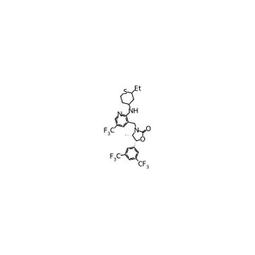 CCC1CC(Nc2ncc(C(F)(F)F)cc2CN2C(=O)O[C@H](c3cc(C(F)(F)F)cc(C(F)(F)F)c3)[C@@H]2C)CCS1